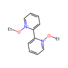 CCO[n+]1ccccc1-c1cccc[n+]1OCC